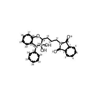 O=C1c2ccccc2C(=O)N1CCCC1Oc2ccccc2N(c2ccccc2)S1(O)O